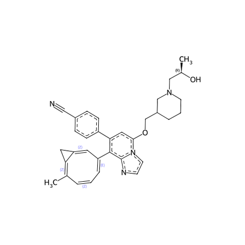 CC1=C2\C\C2=C\C(c2c(-c3ccc(C#N)cc3)cc(OCC3CCCN(C[C@@H](C)O)C3)n3ccnc23)=C/C=C\1